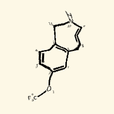 FC(F)(F)Oc1ccc2c(c1)C=CNC2